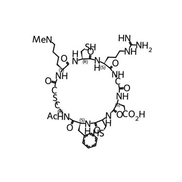 CNCCCC[C@@H]1NC(=O)CSC[C@@H](C(C)=O)NC(=O)[C@H](Cc2ccccc2)NC(=O)C(CS)NC(=O)[C@H](CC(=O)O)NC(=O)CNC(=O)[C@H](CCCNC(=N)N)NC(=O)[C@H](CS)NC1=O